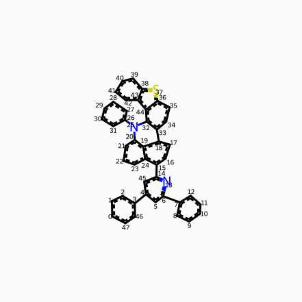 c1ccc(-c2cc(-c3ccccc3)nc(-c3ccc4c5c(cccc35)N(c3ccccc3)c3c-4ccc4sc5ccccc5c34)c2)cc1